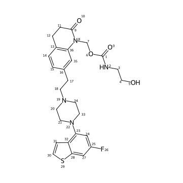 O=C(NCCO)OCN1C(=O)CCc2ccc(CCN3CCN(c4cc(F)cc5sccc45)CC3)cc21